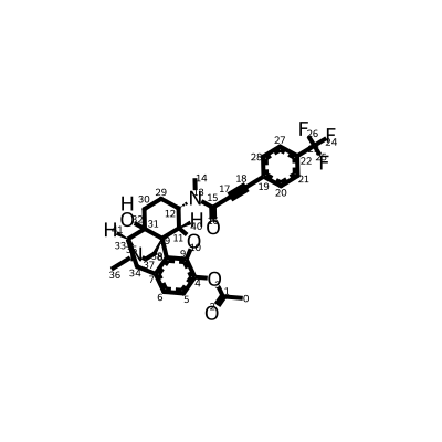 CC(=O)Oc1ccc2c3c1O[C@H]1[C@@H](N(C)C(=O)C#Cc4ccc(C(F)(F)F)cc4)CCC4(O)[C@@H](C2)N(C)CC[C@]314